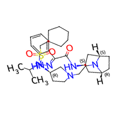 CC(C)n1nc(C(=O)N[C@@H]2C[C@H]3CC[C@@H](C2)N3CCN2CC[C@@H](NS(=O)(=O)CC3CCCCC3)C2)c2ccccc21